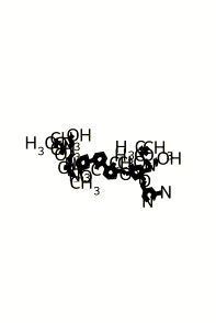 Cc1c(COc2cc(OCc3cncc(C#N)c3)c(CN(CCO)C(=O)OC(C)(C)C)cc2Cl)cccc1-c1cccc(-c2ccc3c(c2)C(=O)N(C)CC(=O)N3CCN(CCO)C(=O)OC(C)(C)C)c1C